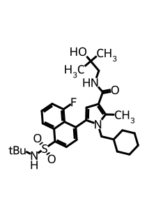 Cc1c(C(=O)NCC(C)(C)O)cc(-c2ccc(S(=O)(=O)NC(C)(C)C)c3cccc(F)c23)n1CC1CCCCC1